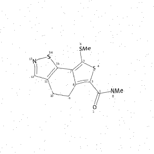 CNC(=O)c1sc(SC)c2c1CCc1cnsc1-2